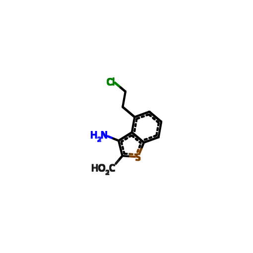 Nc1c(C(=O)O)sc2cccc(CCCl)c12